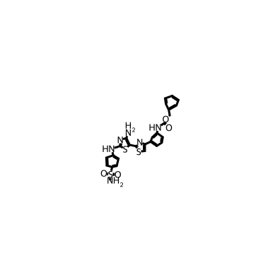 Nc1nc(Nc2ccc(S(N)(=O)=O)cc2)sc1-c1nc(-c2cccc(NC(=O)OCc3ccccc3)c2)cs1